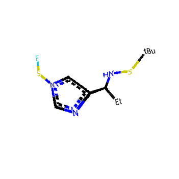 CCC(NSC(C)(C)C)c1cn(SF)cn1